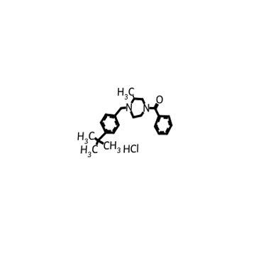 C[C@@H]1CN(C(=O)c2ccccc2)CCN1Cc1ccc(C(C)(C)C)cc1.Cl